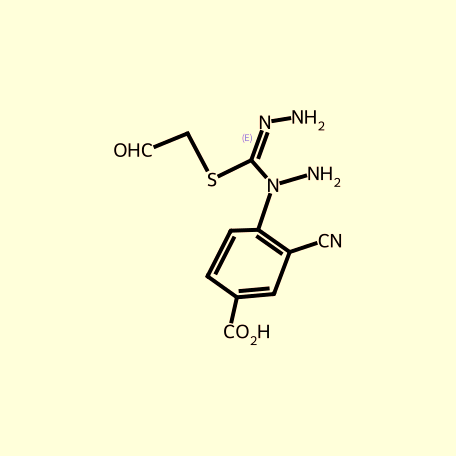 N#Cc1cc(C(=O)O)ccc1N(N)/C(=N\N)SCC=O